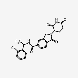 O=C1CCC(N2Cc3cc(C(=O)NC(c4ccccc4Cl)C(F)(F)F)ccc3C2=O)C(=O)N1